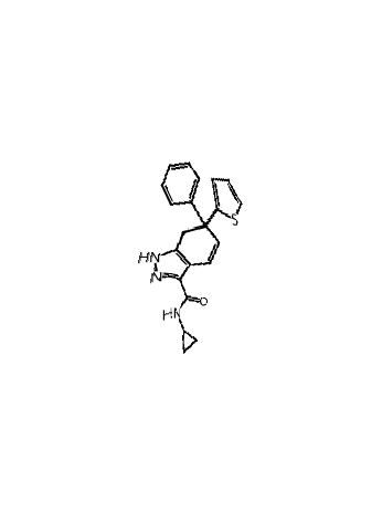 O=C(NC1CC1)c1n[nH]c2c1C=CC(c1ccccc1)(c1cccs1)C2